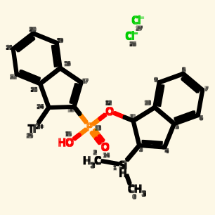 C[SiH](C)C1=Cc2ccccc2C1OP(=O)(O)C1=Cc2ccccc2[CH]1[Ti+2].[Cl-].[Cl-]